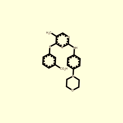 Cc1cnc(Nc2ccc(N3CCOCC3)cc2)nc1Sc1cccc(C(=O)O)c1